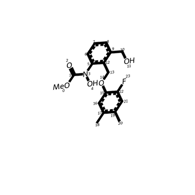 COC(=O)N(O)c1cccc(CO)c1COc1cc(C)c(C)cc1F